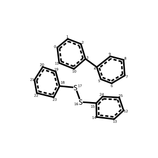 c1ccc(-c2ccccc2)cc1.c1ccc(SSc2ccccc2)cc1